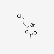 CC(=O)OC(Br)CCCl